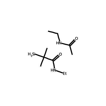 CCNC(=O)C(C)(C)[SiH3].CCNC(C)=O